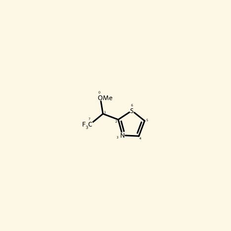 COC(c1nccs1)C(F)(F)F